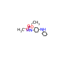 CCOP(=O)(Nc1ccc(Nc2ccccc2)cc1)OCC